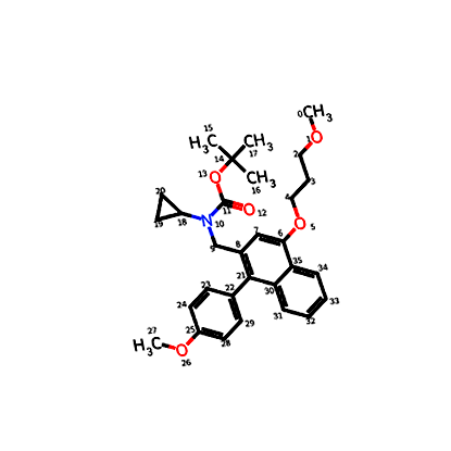 COCCCOc1cc(CN(C(=O)OC(C)(C)C)C2CC2)c(-c2ccc(OC)cc2)c2ccccc12